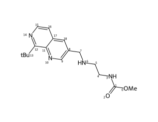 COC(=O)NCCNCc1cnc2c(C(C)(C)C)nccc2c1